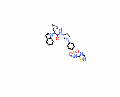 C[C@@H](C(=O)N[C@H]1CCN(c2ccc(S(=O)(=O)Nc3ncns3)cc2)C1)n1ccc2ccccc21